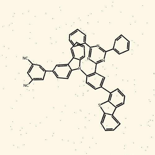 N#Cc1cc(C#N)cc(-c2ccc3c(c2)c2ccccc2n3-c2ccc(-c3cccc4c3sc3ccccc34)cc2-c2nc(-c3ccccc3)nc(-c3ccccc3)n2)c1